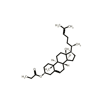 CCC(=O)O[C@H]1CC[C@@]2(C)C(=CC[C@H]3[C@@H]4CC[C@H]([C@H](C)CCC=C(C)C)[C@@]4(C)CC[C@@H]32)C1